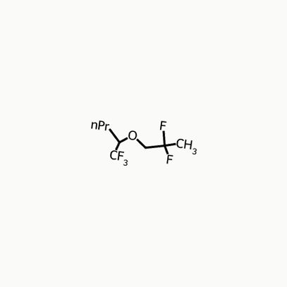 CCCC(OCC(C)(F)F)C(F)(F)F